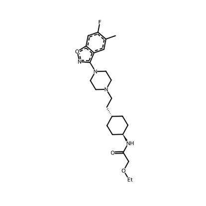 CCOCC(=O)N[C@H]1CC[C@H](CCN2CCN(c3noc4cc(F)c(C)cc34)CC2)CC1